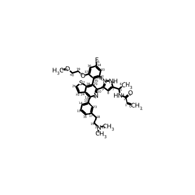 C=CC(=O)NC(C)c1cc(-c2nc(-c3cccc(CCN(C)C)c3)c3ccsc3c2-c2c(F)cc(F)cc2OCCOC)n[nH]1